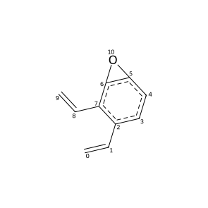 C=Cc1ccc2c(c1C=C)O2